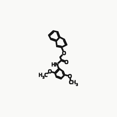 COc1ccc(OC)c(NC(=O)COc2ccc3ccccc3c2)c1